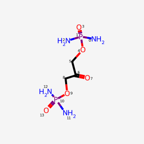 NP(N)(=O)OCC(=O)COP(N)(N)=O